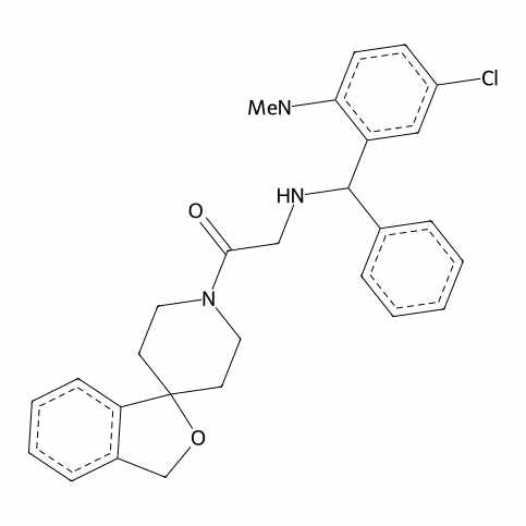 CNc1ccc(Cl)cc1C(NCC(=O)N1CCC2(CC1)OCc1ccccc12)c1ccccc1